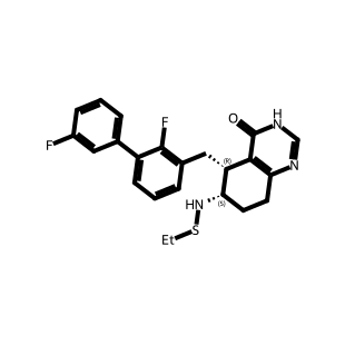 CCSN[C@H]1CCc2nc[nH]c(=O)c2[C@H]1Cc1cccc(-c2cccc(F)c2)c1F